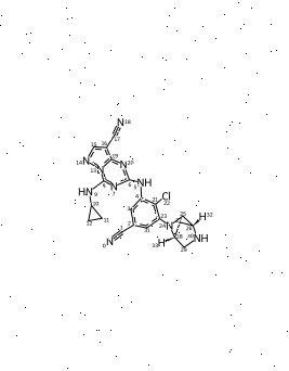 N#Cc1cc(Nc2nc(NC3CC3)n3ncc(C#N)c3n2)c(Cl)c(N2C[C@H]3C[C@@H]2CN3)c1